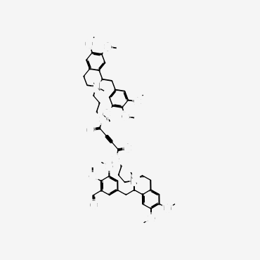 COc1cc2c(cc1OC)C(Cc1cc(C=O)c(OC)c(OC)c1)[N+](C)(CCCOC(=O)C#CC(=O)OCCC[N+]1(C)CCc3cc(OC)c(OC)cc3C1Cc1cc(OC)c(OC)c(OC)c1)CC2